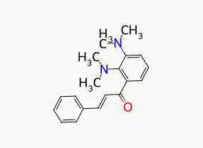 CN(C)c1cccc(C(=O)C=Cc2ccccc2)c1N(C)C